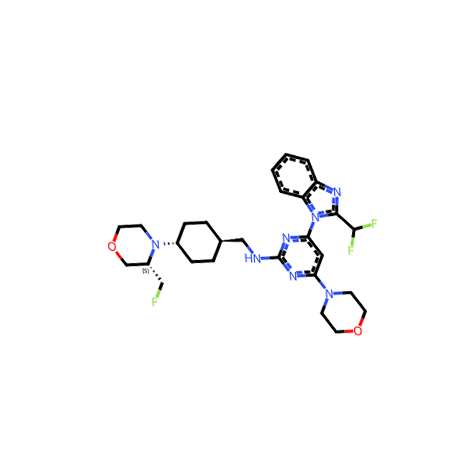 FC[C@@H]1COCCN1[C@H]1CC[C@H](CNc2nc(N3CCOCC3)cc(-n3c(C(F)F)nc4ccccc43)n2)CC1